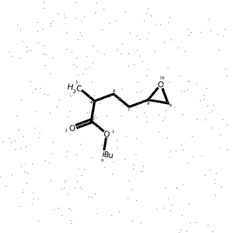 CCC(C)OC(=O)C(C)CCC1CO1